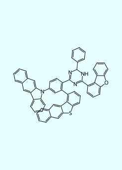 c1ccc(C2N=C(c3ccc(-n4c5ccccc5c5cc6ccccc6cc54)cc3-c3cccc4sc5cc6ccccc6cc5c34)N=C(c3cccc4oc5ccccc5c34)N2)cc1